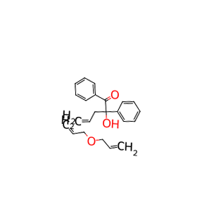 C=CCC(O)(C(=O)c1ccccc1)c1ccccc1.C=CCOCC=C